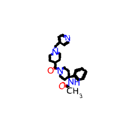 CC(=O)NC1(c2ccccc2)CCN(C(=O)C2CCN(Cc3ccncc3)CC2)CC1